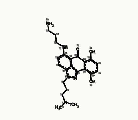 CN(C)CCCn1nc2c3c(c(NCCCN)ccc31)C(=O)c1c(O)ccc(O)c1-2